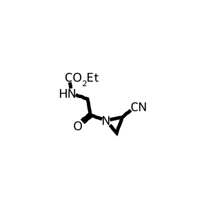 CCOC(=O)NCC(=O)N1CC1C#N